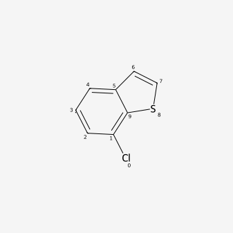 Clc1c[c]cc2ccsc12